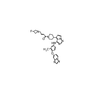 Cc1cc(Nc2ncnn3ccc(C4CCN(C(=O)C=CCN5CC(F)C5)CC4)c23)ccc1Oc1ccn2ncnc2c1